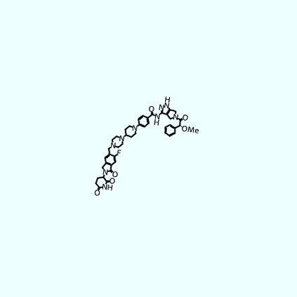 CO[C@@H](C(=O)N1Cc2[nH]nc(NC(=O)c3ccc(N4CCC(N5CCN(Cc6cc7c(cc6F)C(=O)N(C6CCC(=O)NC6=O)C7)CC5)CC4)cc3)c2C1)c1ccccc1